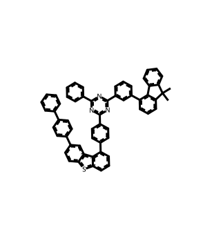 CC1(C)c2ccccc2-c2c(-c3cccc(-c4nc(-c5ccccc5)nc(-c5ccc(-c6cccc7sc8ccc(-c9ccc(-c%10ccccc%10)cc9)cc8c67)cc5)n4)c3)cccc21